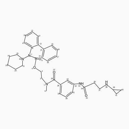 CN(CCOC(=O)N(c1ccccc1-c1ccccc1)N1CC[CH]CC1)C(=O)c1cccc(NC(=O)CCNC2CC2)c1